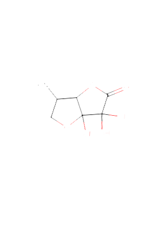 O=NC1COC2(O)C1OC(=O)C2(O)O